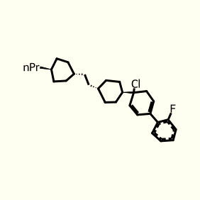 CCC[C@H]1CC[C@H](CC[C@H]2CC[C@H](C3(Cl)C=CC(c4ccccc4F)=CC3)CC2)CC1